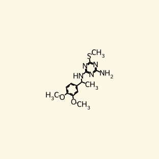 COc1ccc(C(C)Nc2nc(N)nc(SC)n2)cc1OC